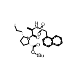 C=C(NS(=O)(=O)Cc1cccc2ccccc12)C(=O)N1[C@@H](CCI)CC[C@H]1C(=O)OC(C)(C)C